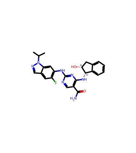 CC(C)n1ncc2cc(F)c(Nc3ncc(C(N)=O)c(N[C@H]4c5ccccc5C[C@H]4O)n3)cc21